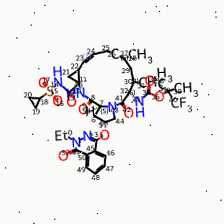 CCn1nc(O[C@@H]2C[C@H]3C(=O)N[C@]4(C(=O)NS(=O)(=O)C5CC5)CC4/C=C\CC[C@H](C)C[C@@H](C)[C@H](NC(=O)OC(C)(C)C(F)(F)F)C(=O)N3C2)c2ccccc2c1=O